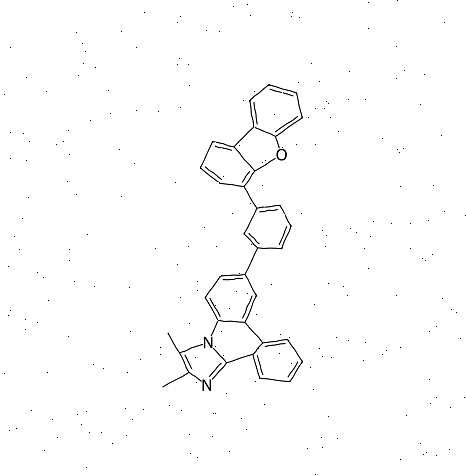 Cc1nc2c3ccccc3c3cc(-c4cccc(-c5cccc6c5oc5ccccc56)c4)ccc3n2c1C